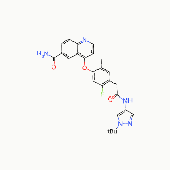 Cc1cc(CC(=O)Nc2cnn(C(C)(C)C)c2)c(F)cc1Oc1ccnc2ccc(C(N)=O)cc12